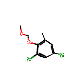 COCOc1c(C)cc(Br)cc1Br